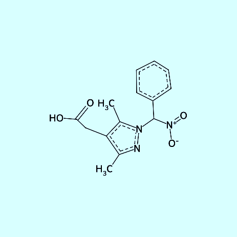 Cc1nn(C(c2ccccc2)[N+](=O)[O-])c(C)c1CC(=O)O